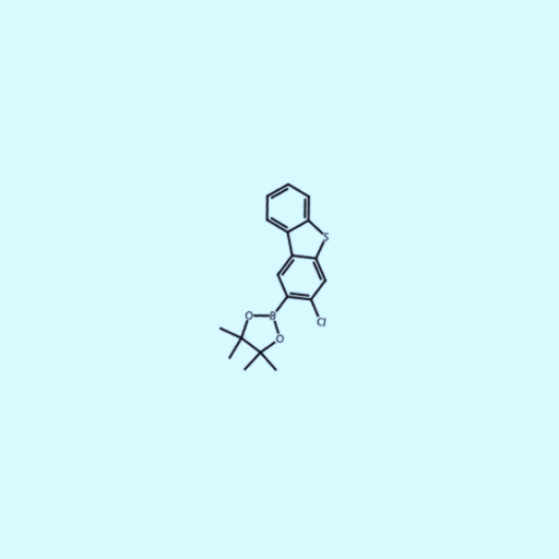 CC1(C)OB(c2cc3c(cc2Cl)sc2ccccc23)OC1(C)C